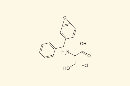 Cl.NC(CO)C(=O)O.c1ccc(Cc2ccc3c(c2)O3)cc1